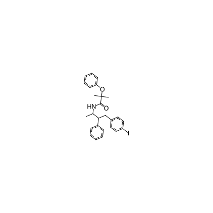 CC(NC(=O)C(C)(C)Oc1ccccc1)C(Cc1ccc(I)cc1)c1ccccc1